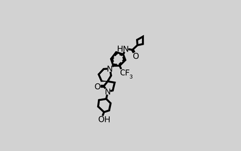 O=C(Nc1ccc(N2CCC[C@]3(CCN(C4CCC(O)CC4)C3=O)C2)c(C(F)(F)F)c1)C1CCC1